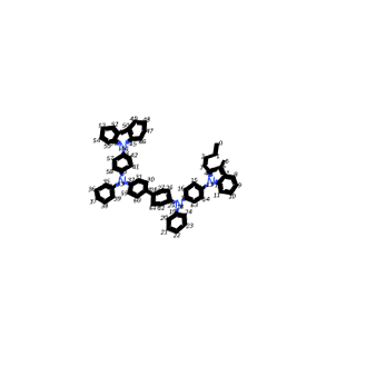 C=C/C=C\c1c(C)c2ccccc2n1-c1ccc(N(c2ccccc2)c2ccc(-c3ccc(N(c4ccccc4)c4ccc(-n5c6ccccc6c6ccccc65)cc4)cc3)cc2)cc1